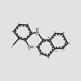 Oc1c(I)cccc1Nc1cccc2ccccc12